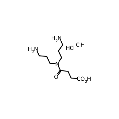 Cl.Cl.NCCCN(CCCN)C(=O)CCC(=O)O